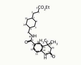 CCOC(=O)CCC1CCC(CNC(=O)c2ccc3c(c2)C(C)(C)CC(=O)N3)CC1